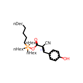 CCCCCCCCCCCCCCP(CCCCCC)(CCCCCC)(CCCCCC)OC(=O)/C(C#N)=C/c1ccc(O)cc1